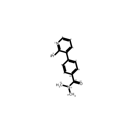 CC(C)c1ncccc1-c1ccc(C(=O)N(C)C)cc1